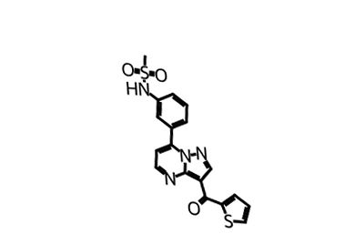 CS(=O)(=O)Nc1cccc(-c2ccnc3c(C(=O)c4cccs4)cnn23)c1